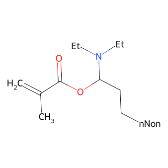 C=C(C)C(=O)OC(CCCCCCCCCCC)N(CC)CC